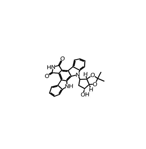 CC1(C)O[C@@H]2[C@@H](O)CC(n3c4ccccc4c4c5c(c6c7ccccc7[nH]c6c43)C(=O)NC5=O)[C@@H]2O1